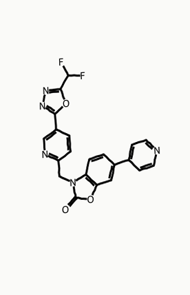 O=c1oc2cc(-c3ccncc3)ccc2n1Cc1ccc(-c2nnc(C(F)F)o2)cn1